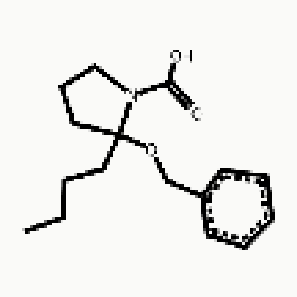 CCCCC1(OCc2ccccc2)CCCN1C(=O)O